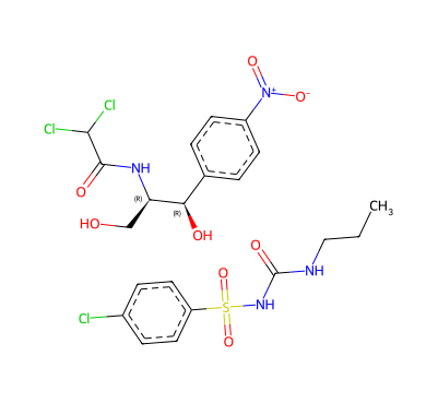 CCCNC(=O)NS(=O)(=O)c1ccc(Cl)cc1.O=C(N[C@H](CO)[C@H](O)c1ccc([N+](=O)[O-])cc1)C(Cl)Cl